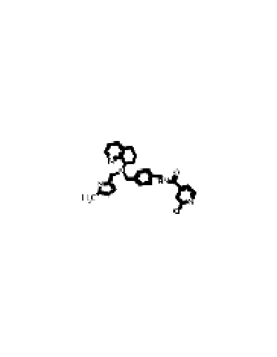 CC1=CCC(CN(Cc2ccc(CNC(=O)c3ccnc(Cl)c3)cc2)C2CCCc3cccnc32)=N1